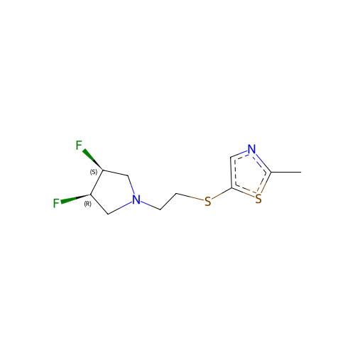 Cc1ncc(SCCN2C[C@@H](F)[C@@H](F)C2)s1